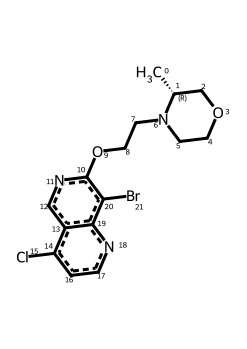 C[C@@H]1COCCN1CCOc1ncc2c(Cl)ccnc2c1Br